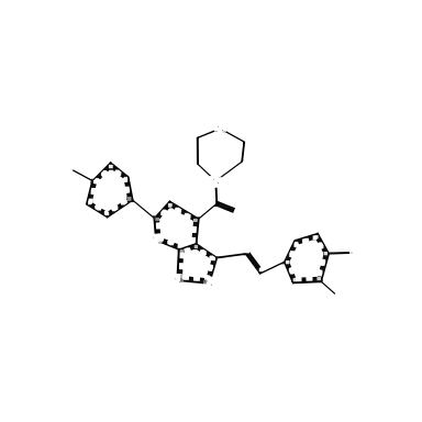 Cc1cc(/C=C/c2n[nH]c3nc(-c4ccc(O)cc4)cc(C(=O)N4CCNCC4)c23)ccc1O